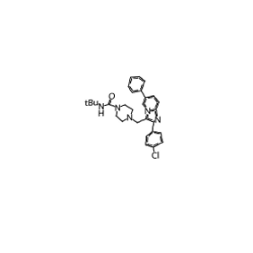 CC(C)(C)NC(=O)N1CCN(Cc2c(-c3ccc(Cl)cc3)nc3ccc(-c4ccccc4)cn23)CC1